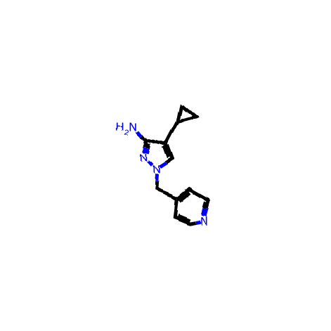 Nc1nn(Cc2ccncc2)cc1C1CC1